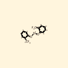 FC(F)(F)c1ccccc1[O][Zr][O]c1ccccc1C(F)(F)F